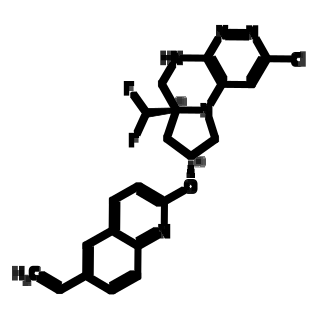 C=Cc1ccc2nc(O[C@H]3CN4c5cc(Cl)nnc5NC[C@@]4(C(F)F)C3)ccc2c1